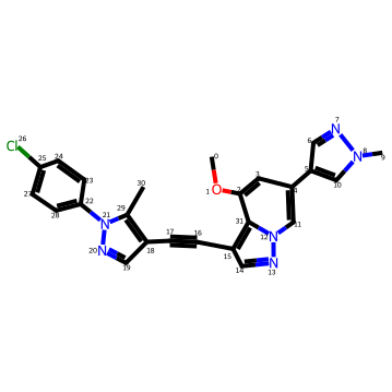 COc1cc(-c2cnn(C)c2)cn2ncc(C#Cc3cnn(-c4ccc(Cl)cc4)c3C)c12